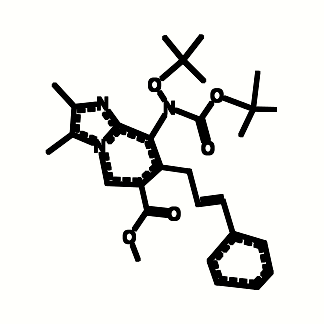 COC(=O)c1cn2c(C)c(C)nc2c(N(OC(C)(C)C)C(=O)OC(C)(C)C)c1C/C=C/c1ccccc1